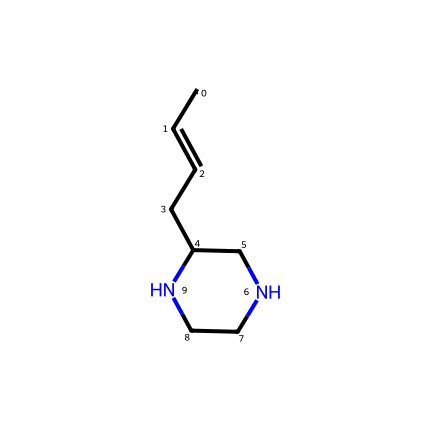 [CH2]C=CCC1CNCCN1